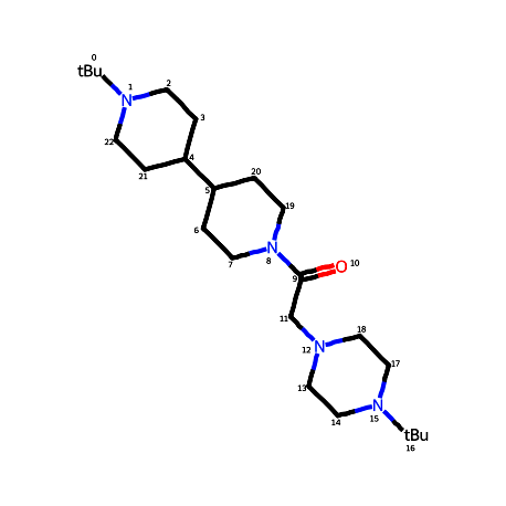 CC(C)(C)N1CCC(C2CCN(C(=O)CN3CCN(C(C)(C)C)CC3)CC2)CC1